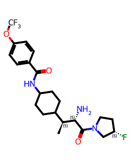 C[C@@H](C1CCC(NC(=O)c2ccc(OC(F)(F)F)cc2)CC1)[C@H](N)C(=O)N1CC[C@H](F)C1